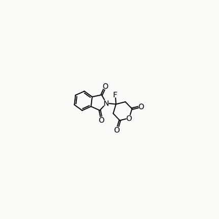 O=C1CC(F)(N2C(=O)c3ccccc3C2=O)CC(=O)O1